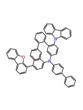 c1ccc(-c2ccc(N(c3ccc(-c4cccc5c4oc4ccccc45)cc3)c3ccc(-n4c5ccccc5c5ccccc54)c(-c4ccccc4-c4ccccc4)c3)cc2)cc1